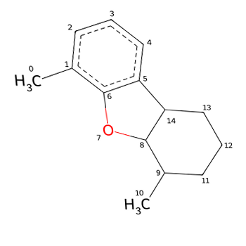 Cc1cccc2c1OC1C(C)CCCC21